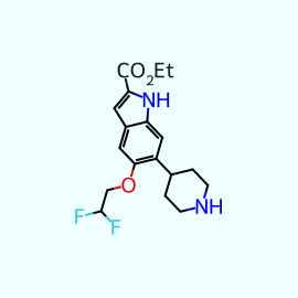 CCOC(=O)c1cc2cc(OCC(F)F)c(C3CCNCC3)cc2[nH]1